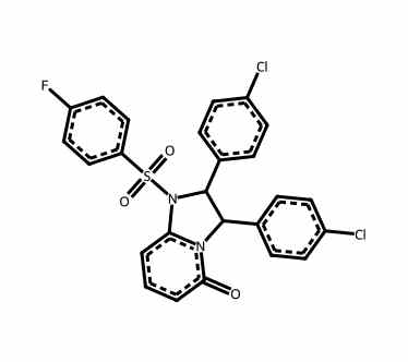 O=c1cccc2n1C(c1ccc(Cl)cc1)C(c1ccc(Cl)cc1)N2S(=O)(=O)c1ccc(F)cc1